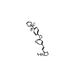 O=S(=O)(c1ccc(Oc2cncc(C=CC3CCCN3)c2)cc1)N1CCCC1